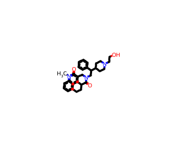 Cn1c(=O)c(CN(CC(c2ccccc2)C2CCN(CCO)CC2)C(=O)C2CCCCC2)cc2ccccc21